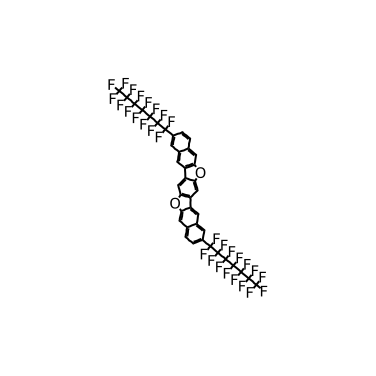 FC(F)(F)C(F)(F)C(F)(F)C(F)(F)C(F)(F)C(F)(F)C(F)(F)c1ccc2cc3oc4cc5c(cc4c3cc2c1)oc1cc2ccc(C(F)(F)C(F)(F)C(F)(F)C(F)(F)C(F)(F)C(F)(F)C(F)(F)F)cc2cc15